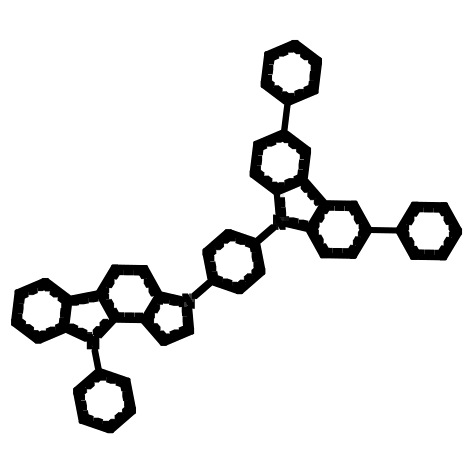 c1ccc(-c2ccc3c(c2)c2cc(-c4ccccc4)ccc2n3-c2ccc(-n3ccc4c3ccc3c5ccccc5n(-c5ccccc5)c34)cc2)cc1